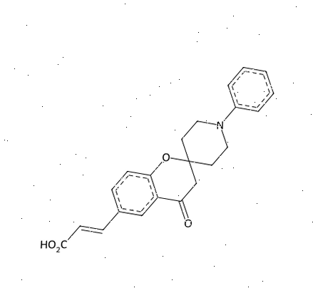 O=C(O)C=Cc1ccc2c(c1)C(=O)CC1(CCN(c3ccccc3)CC1)O2